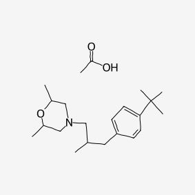 CC(=O)O.CC(Cc1ccc(C(C)(C)C)cc1)CN1CC(C)OC(C)C1